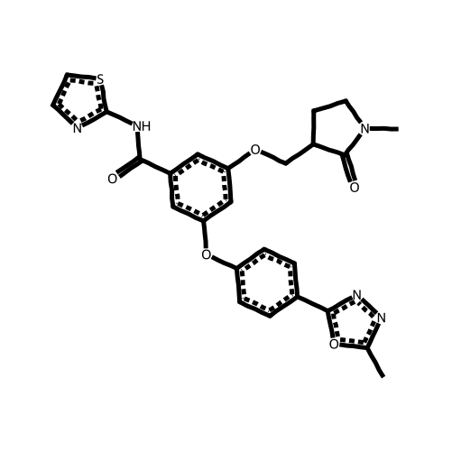 Cc1nnc(-c2ccc(Oc3cc(OCC4CCN(C)C4=O)cc(C(=O)Nc4nccs4)c3)cc2)o1